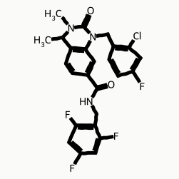 CC1c2ccc(C(=O)NCc3c(F)cc(F)cc3F)cc2N(Cc2ccc(F)cc2Cl)C(=O)N1C